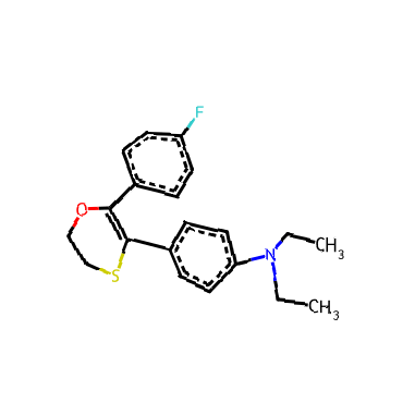 CCN(CC)c1ccc(C2=C(c3ccc(F)cc3)OCCS2)cc1